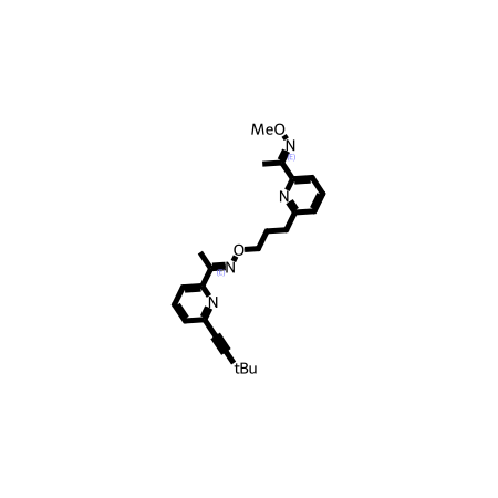 CO/N=C(\C)c1cccc(CCCO/N=C(\C)c2cccc(C#CC(C)(C)C)n2)n1